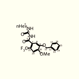 CCCCCCNC(=O)NC(=O)c1cc(OCc2ccccc2)c(OC)cc1C(F)(F)F